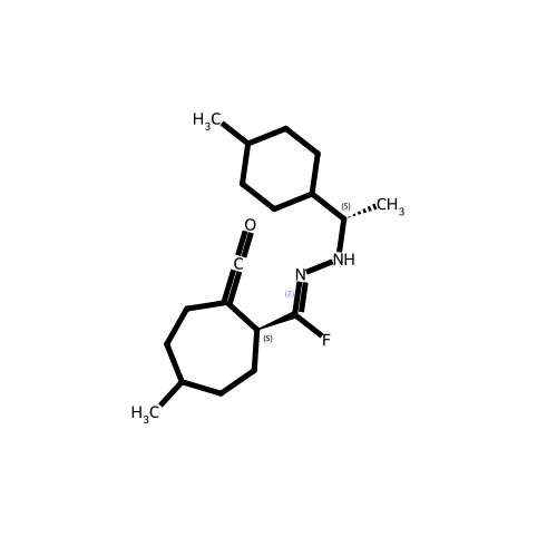 CC1CCC([C@H](C)N/N=C(\F)[C@H]2CCC(C)CCC2=C=O)CC1